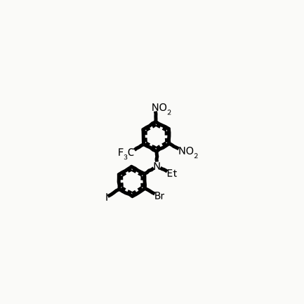 CCN(c1ccc(I)cc1Br)c1c([N+](=O)[O-])cc([N+](=O)[O-])cc1C(F)(F)F